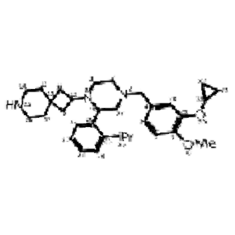 COc1ccc(CN2CCN(C3CC4(CCNCC4)C3)C(c3ccccc3C(C)C)C2)cc1OC1CC1